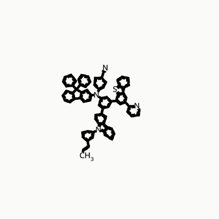 C/C=C/c1cccc(-n2c3ccccc3c3cc(-c4cc(-c5cc(-c6ccccn6)cc6c5sc5ccccc56)cc(N(c5ccc(C#N)cc5)c5ccc6c(c5)C(c5ccccc5)(c5ccccc5)c5ccccc5-6)c4)ccc32)c1